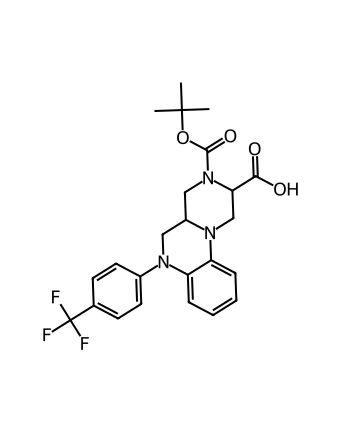 CC(C)(C)OC(=O)N1CC2CN(c3ccc(C(F)(F)F)cc3)c3ccccc3N2CC1C(=O)O